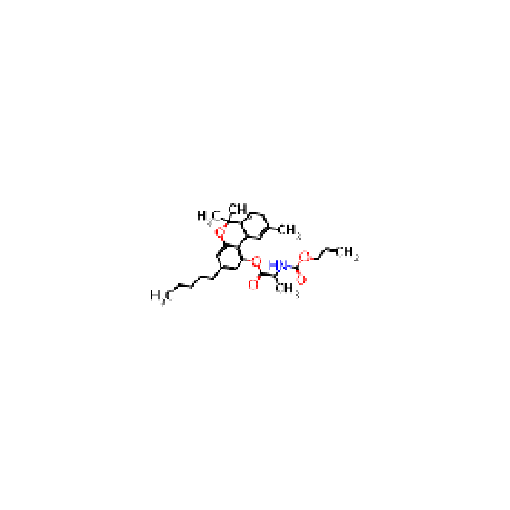 C=CCOC(=O)NC(C)C(=O)Oc1cc(CCCCC)cc2c1C1C=C(C)CCC1C(C)(C)O2